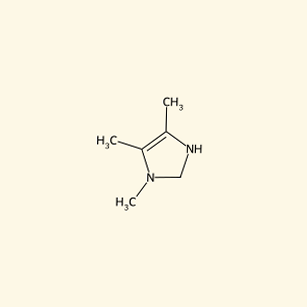 CC1=C(C)N(C)CN1